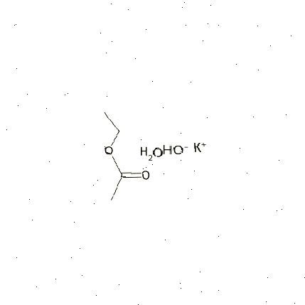 CCOC(C)=O.O.[K+].[OH-]